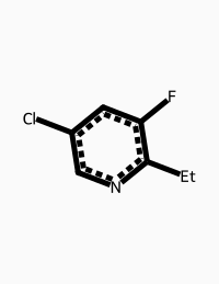 CCc1ncc(Cl)cc1F